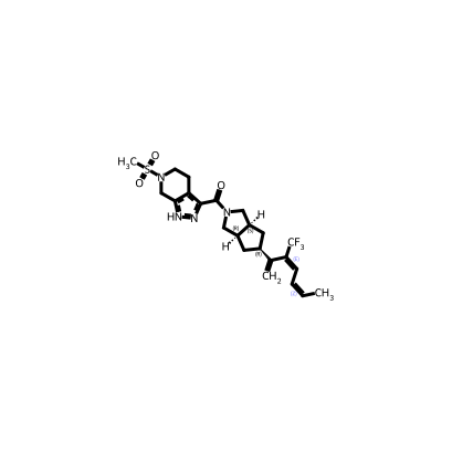 C=C(/C(=C\C=C/C)C(F)(F)F)[C@@H]1C[C@@H]2CN(C(=O)c3n[nH]c4c3CCN(S(C)(=O)=O)C4)C[C@@H]2C1